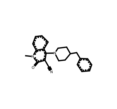 Cn1c(=O)c(C#N)c(N2CCC(Cc3ccccc3)CC2)c2ccccc21